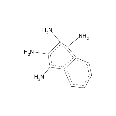 Nc1c(N)c(N)c2ccccc2c1N